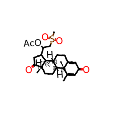 CC(=O)OC(CS(C)(=O)=O)C1CC(=O)[C@@]2(C)CC[C@@H]3[C@@H](CCC4=CC(=O)C=C(C)[C@@]43C)[C@H]12